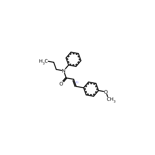 CCCN(C(=O)/C=C/c1ccc(OC)cc1)c1ccccc1